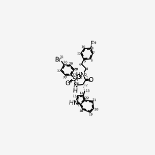 O=C(NCCc1ccc(F)cc1)[C@H](Cc1c[nH]c2ccccc12)NS(=O)(=O)c1ccc(Br)cc1